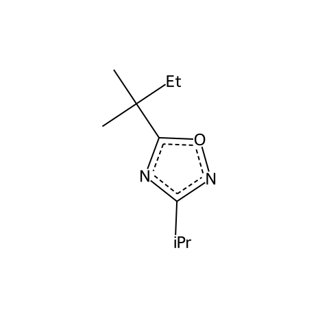 CCC(C)(C)c1nc(C(C)C)no1